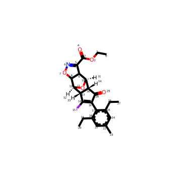 CCOC(=O)C1=NOC2C1[C@@H]1O[C@H]2[C@H]2C(I)=C(c3c(CC)cc(C)cc3CC)C(=O)[C@H]21